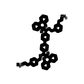 C=CCc1ccc(COC(c2ccc(-c3ccc(C(OCc4cccc(CC=C)c4)P4(=O)Oc5ccccc5-c5ccccc54)cc3)cc2)P2(=O)Oc3ccccc3-c3ccccc32)cc1